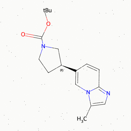 Cc1cnc2ccc([C@H]3CCN(C(=O)OC(C)(C)C)C3)cn12